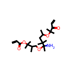 C=CC(=O)OC(C)(C)C(C)COC(C)(N)C(C)(C)CC(C)OC(C)(C)C(=O)C=C